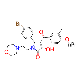 CCCOc1ccc(C(=O)C2=C(O)C(=O)N(CCN3CCOCC3)C2c2ccc(Br)cc2)cc1C